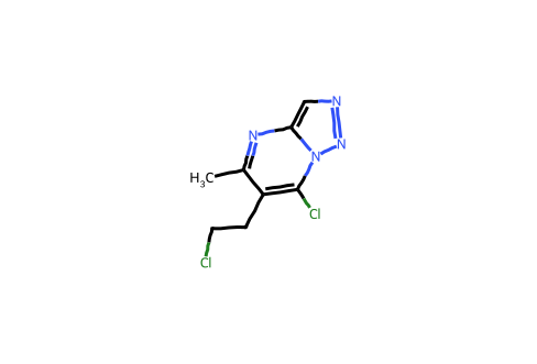 Cc1nc2cnnn2c(Cl)c1CCCl